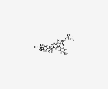 CN(C)CCNC(=O)c1[nH]c2ccc(NS(=O)(=O)c3ccc(C(C)(C)C)cc3)cc2c1-c1ccc(O)cc1